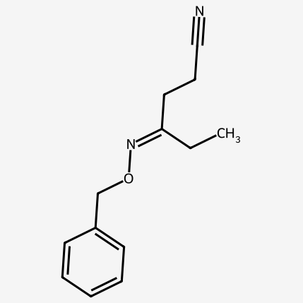 CC/C(CCC#N)=N\OCc1ccccc1